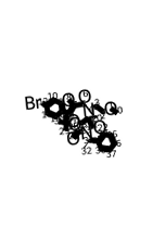 COCCN1C(=O)c2oc3cc(Br)ccc3c2OC[C@@]1(C)C(=O)N(C(=O)OC(C)(C)C)[C@@H](C)c1ccccc1